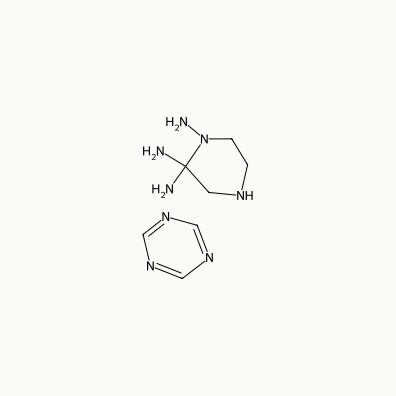 NN1CCNCC1(N)N.c1ncncn1